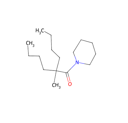 CCCCC(C)(CCCC)C(=O)N1CCCCC1